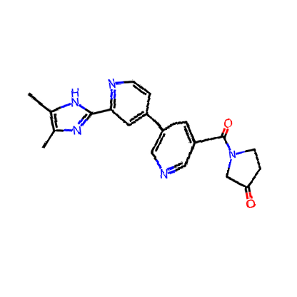 Cc1nc(-c2cc(-c3cncc(C(=O)N4CCC(=O)C4)c3)ccn2)[nH]c1C